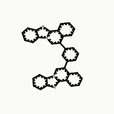 c1cc(-c2cn3c4ccccc4nc3c3ccccc23)cc(-c2cn3c4ccccc4nc3c3ccccc23)c1